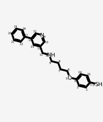 Sc1ccc(OCCCCNCc2cncc(-c3ccccc3)c2)cc1